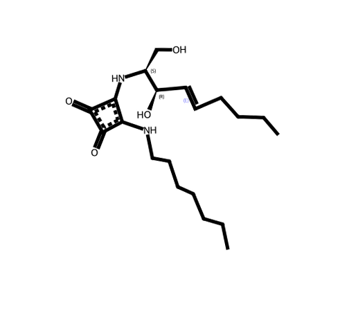 CCCC/C=C/[C@@H](O)[C@H](CO)Nc1c(NCCCCCCC)c(=O)c1=O